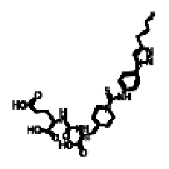 O=C(O)CCC(NC(=O)N[C@@H](CC1CCN(C(=S)Nc2ccc(-n3cc(CCCF)nn3)cc2)CC1)C(=O)O)C(=O)O